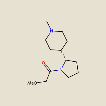 COCC(=O)N1CCC[C@H]1C1CCN(C)CC1